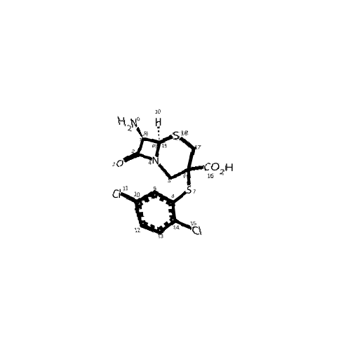 N[C@@H]1C(=O)N2CC(Sc3cc(Cl)ccc3Cl)(C(=O)O)CS[C@H]12